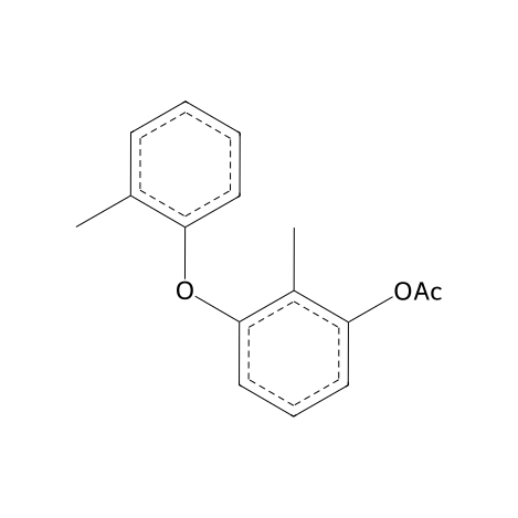 CC(=O)Oc1cccc(Oc2ccccc2C)c1C